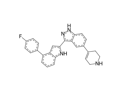 Fc1ccc(-c2cccc3[nH]c(-c4n[nH]c5ccc(C6=CCNCC6)cc45)cc23)cc1